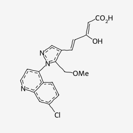 COCc1c(/C=C/C(O)=C/C(=O)O)cnn1-c1ccnc2cc(Cl)ccc12